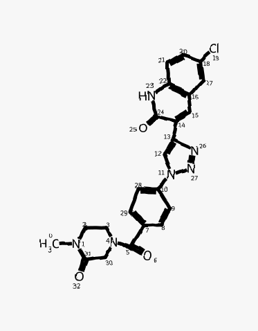 CN1CCN(C(=O)c2ccc(-n3cc(-c4cc5cc(Cl)ccc5[nH]c4=O)nn3)cc2)CC1=O